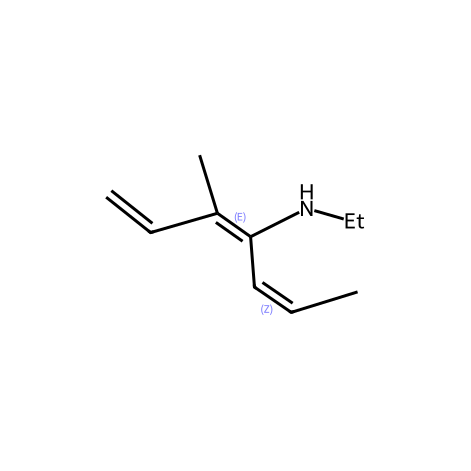 C=C/C(C)=C(\C=C/C)NCC